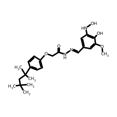 COc1cc(/C=N/NC(=O)COc2ccc(C(C)(C)CC(C)(C)C)cc2)cc(NO)c1O